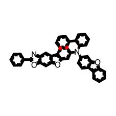 c1ccc(-c2nc3cc4c(cc3o2)oc2cc(N(c3ccc5c(c3)oc3ccccc35)c3ccccc3-c3ccccc3)ccc24)cc1